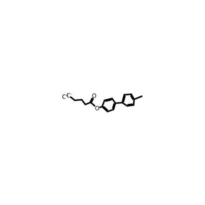 [CH2+][CH-]CCCC(=O)Oc1ccc(-c2ccc(C)cc2)cc1